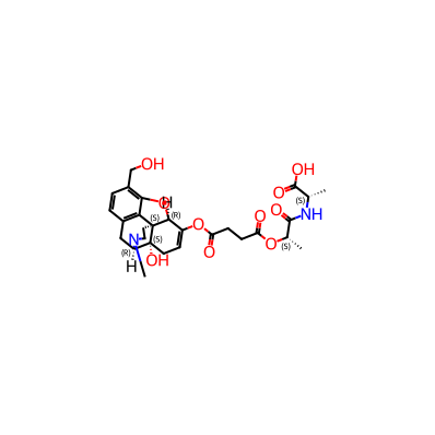 C[C@H](NC(=O)[C@H](C)OC(=O)CCC(=O)OC1=CC[C@@]2(O)[C@H]3Cc4ccc(CO)c5c4[C@@]2(CCN3C)[C@H]1O5)C(=O)O